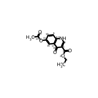 CCOC(=O)c1c[nH]c2ccc(OC(C)=O)cc2c1=O